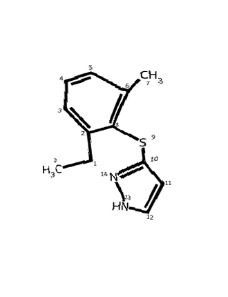 CCc1cccc(C)c1Sc1cc[nH]n1